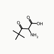 CC(C)(C)C(=O)C(N)C(=O)O